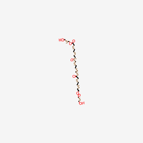 O=C(CSCCSCC[S+]([O-])CSCCSCSC(=O)CSCCSCCOOCSCO)OCSCO